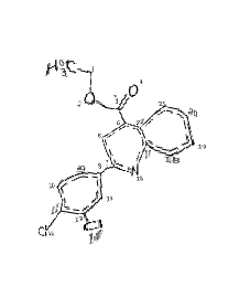 CCOC(=O)c1cc(-c2ccc(Cl)c(Cl)c2)nc2ccccc12